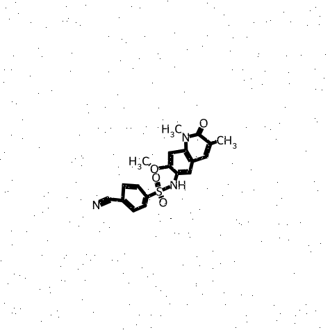 COc1cc2c(cc1NS(=O)(=O)c1ccc(C#N)cc1)cc(C)c(=O)n2C